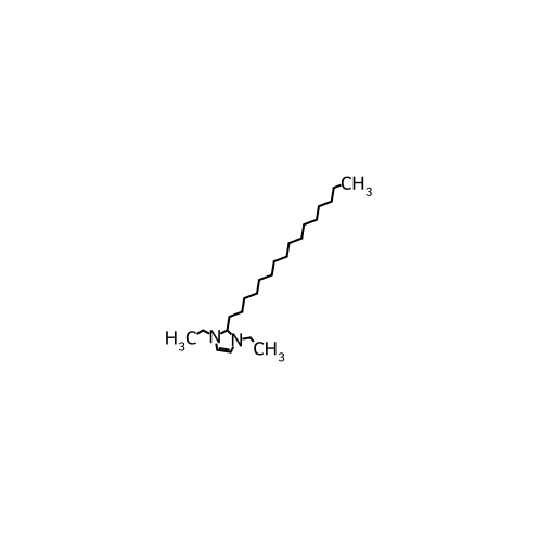 CCCCCCCCCCCCCCCCC1N(CC)C=CN1CC